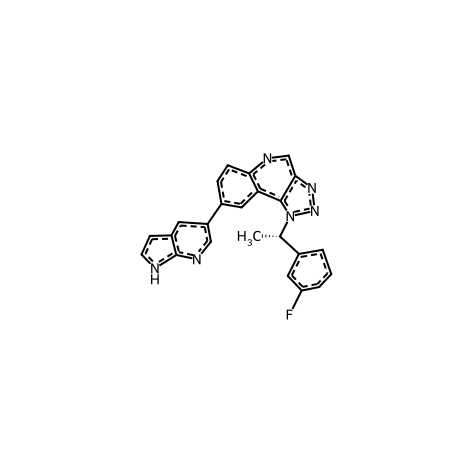 C[C@@H](c1cccc(F)c1)n1nnc2cnc3ccc(-c4cnc5[nH]ccc5c4)cc3c21